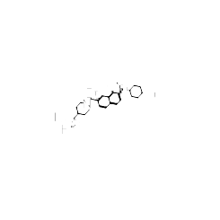 CCO[C@H](C)C1CCN(C(CC)c2ccc3ccc(O[C@H]4CC[C@@H](CC)CC4)c(C#N)c3c2)CC1